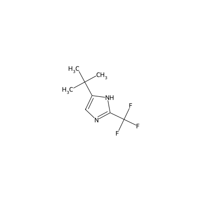 CC(C)(C)c1cnc(C(F)(F)F)[nH]1